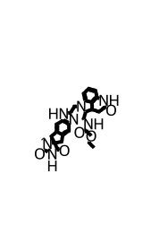 CCOC(=O)NCC1C2CC(=O)Nc3cccc(c32)N1Cc1nc2cc3c(cc2[nH]1)CC1(C3)C(=O)NC(=O)N1C